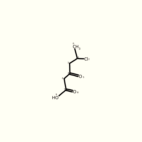 CC(Cl)CC(=O)CC(=O)O